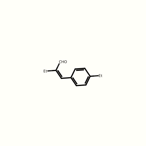 CCC(C=O)=Cc1ccc(CC)cc1